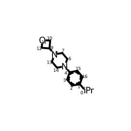 CC(C)c1ccc(N2CCN(C3COC3)CC2)cc1